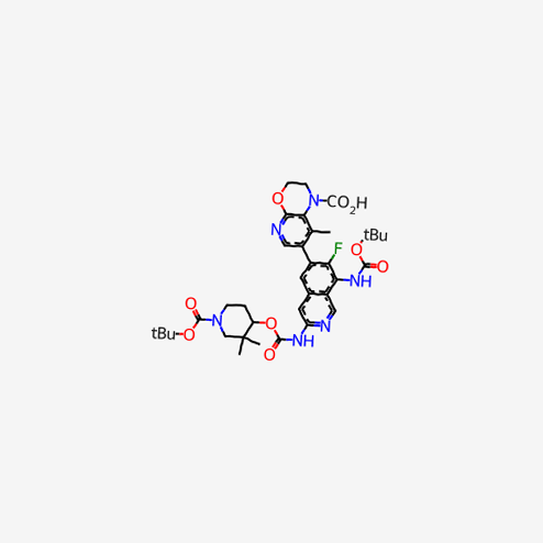 Cc1c(-c2cc3cc(NC(=O)OC4CCN(C(=O)OC(C)(C)C)CC4(C)C)ncc3c(NC(=O)OC(C)(C)C)c2F)cnc2c1N(C(=O)O)CCO2